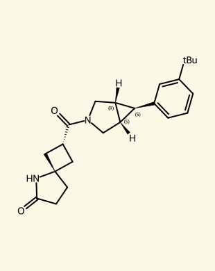 CC(C)(C)c1cccc([C@H]2[C@@H]3CN(C(=O)[C@H]4C[C@]5(CCC(=O)N5)C4)C[C@@H]32)c1